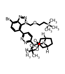 CN(c1ccc(-c2ccc(Br)c3nnn(COCC[Si](C)(C)C)c23)nn1)[C@@H]1C[C@H]2CC[C@@H](C1)N2C(=O)OC(C)(C)C